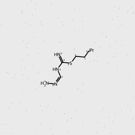 CC(C)CCSC(=N)N/C=N\N